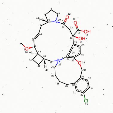 CO[C@H]1/C=C/C[C@@H]2CCCN2C(=O)C[C@](O)(C(=O)O)c2ccc3c(c2)N(CCCCc2cc(Cl)ccc2CO3)C[C@@H]2CC[C@H]21